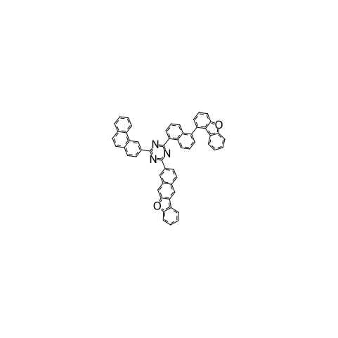 c1ccc2c(c1)ccc1ccc(-c3nc(-c4ccc5cc6c(cc5c4)oc4ccccc46)nc(-c4cccc5c(-c6cccc7oc8ccccc8c67)cccc45)n3)cc12